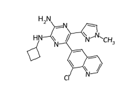 Cn1ccc(-c2nc(N)c(NC3CCC3)nc2-c2cc(Cl)c3ncccc3c2)n1